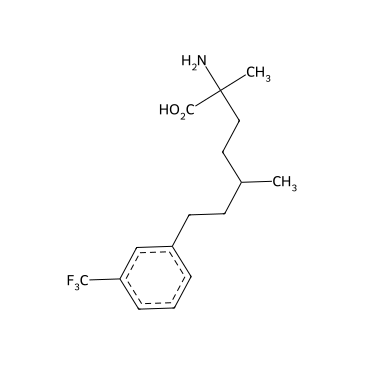 CC(CCc1cccc(C(F)(F)F)c1)CCC(C)(N)C(=O)O